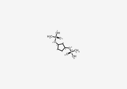 CP(=O)(O)OC1CCC(OP(C)(=O)O)C1